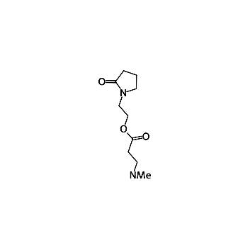 CNCCC(=O)OCCN1CCCC1=O